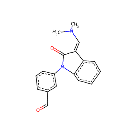 CN(C)C=C1C(=O)N(c2cccc(C=O)c2)c2ccccc21